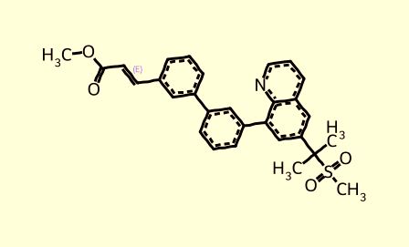 COC(=O)/C=C/c1cccc(-c2cccc(-c3cc(C(C)(C)S(C)(=O)=O)cc4cccnc34)c2)c1